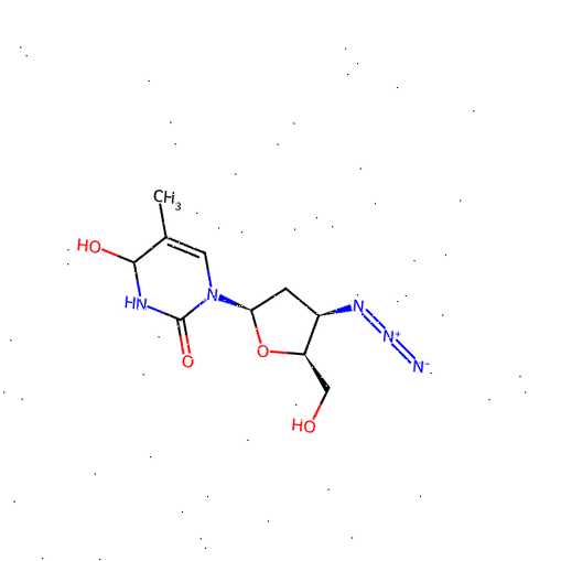 CC1=CN([C@H]2C[C@@H](N=[N+]=[N-])[C@@H](CO)O2)C(=O)NC1O